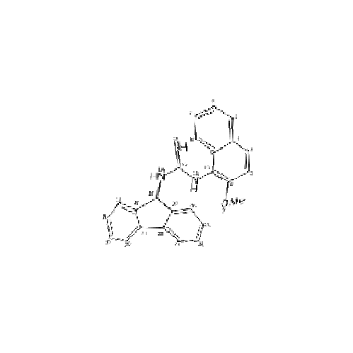 COc1ccc2ccccc2c1NC(=N)NC1c2ccccc2-c2ccccc21